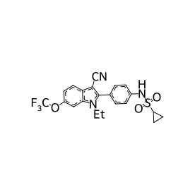 CCn1c(-c2ccc(NS(=O)(=O)C3CC3)cc2)c(C#N)c2ccc(OC(F)(F)F)cc21